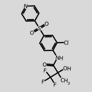 CC(O)(C(=O)Nc1ccc(S(=O)(=O)c2ccncc2)cc1Cl)C(F)(F)F